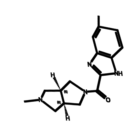 Cc1ccc2[nH]c(C(=O)N3C[C@H]4CN(C)C[C@H]4C3)nc2c1